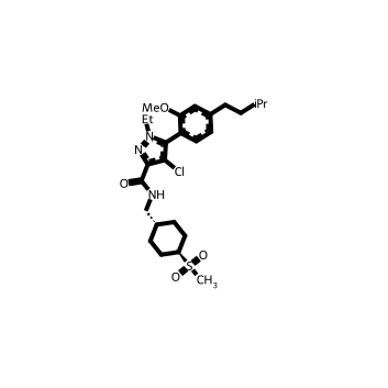 CCn1nc(C(=O)NC[C@H]2CC[C@H](S(C)(=O)=O)CC2)c(Cl)c1-c1ccc(CCC(C)C)cc1OC